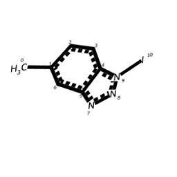 Cc1ccc2c(c1)nnn2I